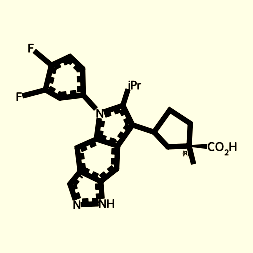 CC(C)c1c(C2CC[C@@](C)(C(=O)O)C2)c2cc3[nH]ncc3cc2n1-c1ccc(F)c(F)c1